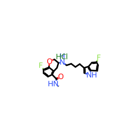 CNC(=O)c1ccc(F)c2c1CC(NCCCCc1c[nH]c3ccc(F)cc13)CO2.Cl